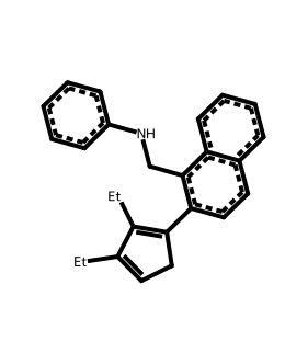 CCC1=CCC(c2ccc3ccccc3c2CNc2ccccc2)=C1CC